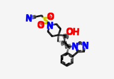 N#CCS(=O)(=O)N1CCC2(CC1)C[C@@H]([C@H]1c3ccccc3-c3cncn31)[C@H]2O